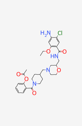 CCOc1cc(N)c(Cl)cc1C(=O)NCC1CN(CC2CCN(C(=O)c3ccccc3OC(C)=O)CC2)CCO1